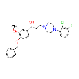 COc1cc(C(O)CCN2CCN(c3cccc(Cl)c3Cl)CC2)ccc1OCc1ccccc1